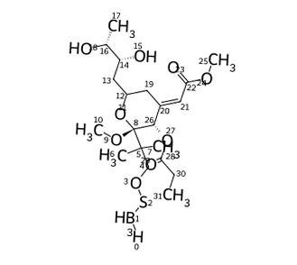 [3H]BSOCC(C)(C)[C@]1(OC)OC(C[C@@H](O)[C@@H](C)O)C/C(=C\C(=O)OC)[C@@H]1OC(=O)CC